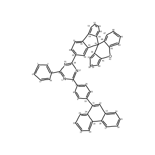 c1ccc(-c2nc(-c3ccc(-c4cc5ccccc5c5ccccc45)cc3)nc(-c3ccc4c(c3)C3(c5ccccc5Oc5ccccc53)c3ccccc3-4)n2)cc1